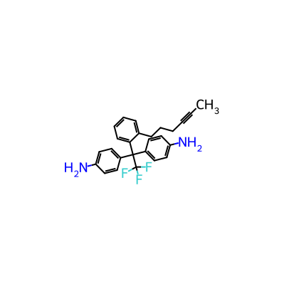 CC#CCCCc1ccccc1C(c1ccc(N)cc1)(c1ccc(N)cc1)C(F)(F)F